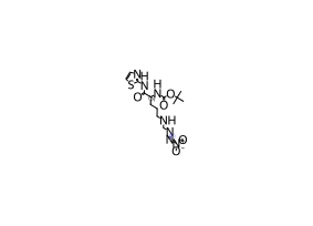 CC(C)(C)OC(=O)N[C@@H](CCCNC/N=N/[N+](=O)[O-])C(=O)Nc1nccs1